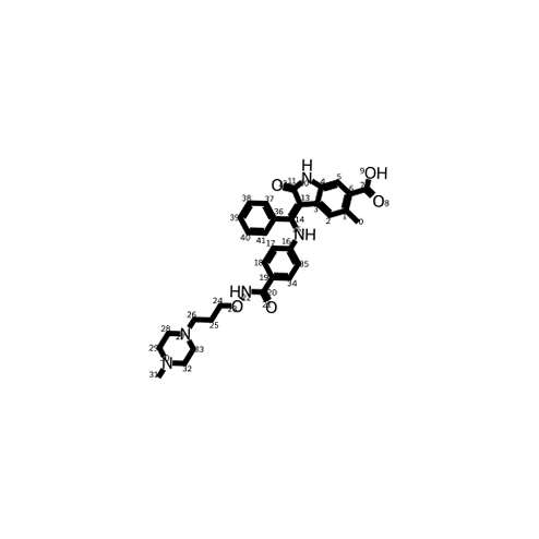 Cc1cc2c(cc1C(=O)O)NC(=O)C2=C(Nc1ccc(C(=O)NOCCCN2CCN(C)CC2)cc1)c1ccccc1